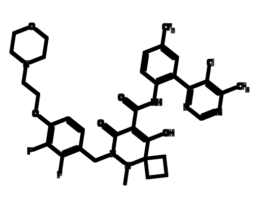 CN1N(Cc2ccc(OCCN3CCOCC3)c(F)c2F)C(=O)C(C(=O)Nc2ccc(C(F)(F)F)cc2-c2ncnc(C(F)(F)F)c2Cl)=C(O)C12CCC2